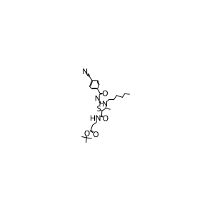 CCCCCCN1C(=NC(=O)c2ccc(C#N)cc2)SC(C(=O)NCCC(=O)OC(C)(C)C)C1C